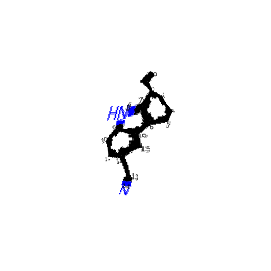 C=Cc1cccc2c1[nH]c1ccc(C#N)cc12